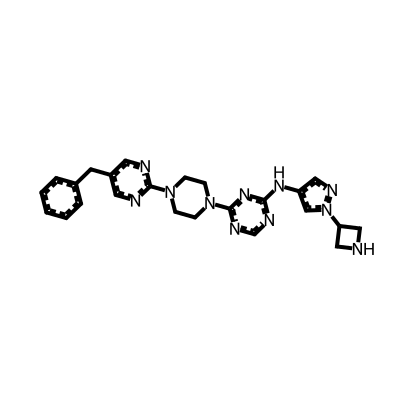 c1ccc(Cc2cnc(N3CCN(c4ncnc(Nc5cnn(C6CNC6)c5)n4)CC3)nc2)cc1